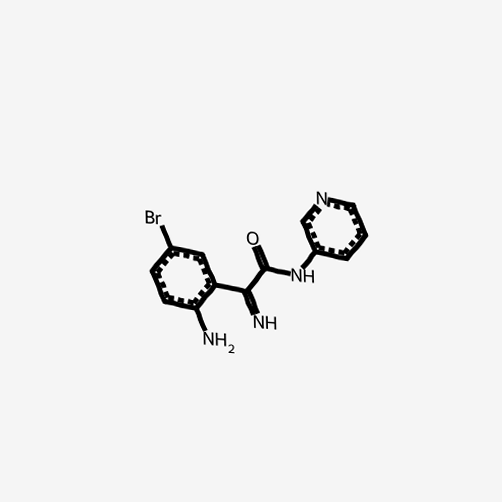 N=C(C(=O)Nc1cccnc1)c1cc(Br)ccc1N